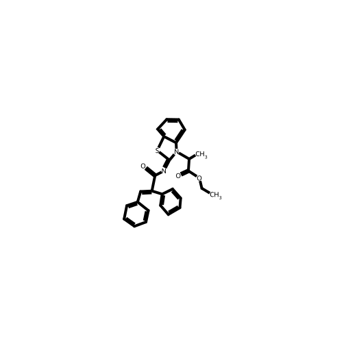 CCOC(=O)C(C)n1c(=NC(=O)C(=Cc2ccccc2)c2ccccc2)sc2ccccc21